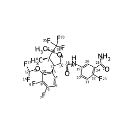 C[C@@H]1[C@H](c2ccc(F)c(F)c2OC(F)F)[C@@H](C(=O)Nc2ccc(F)c(C(N)=O)c2)O[C@@]1(C)C(F)(F)F